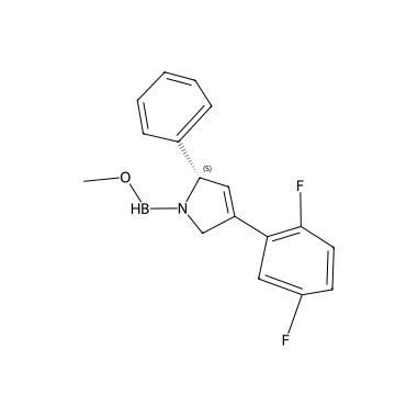 COBN1CC(c2cc(F)ccc2F)=C[C@H]1c1ccccc1